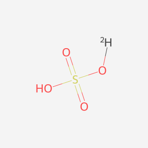 [2H]OS(=O)(=O)O